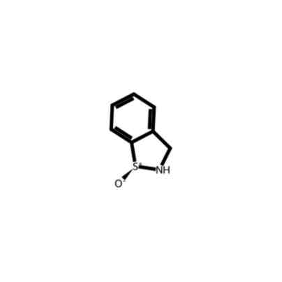 [O-][S@+]1NCc2ccccc21